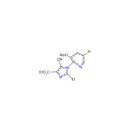 CCOC(=O)c1nc(CC)n(-c2ncc(Br)cc2OC)c1C#N